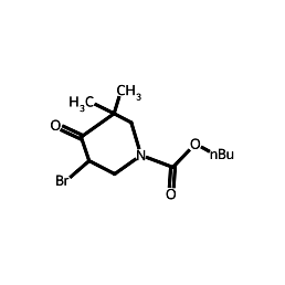 CCCCOC(=O)N1CC(Br)C(=O)C(C)(C)C1